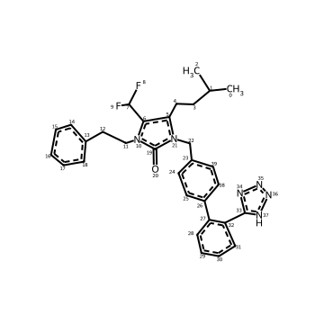 CC(C)CCc1c(C(F)F)n(CCc2ccccc2)c(=O)n1Cc1ccc(-c2ccccc2-c2nnn[nH]2)cc1